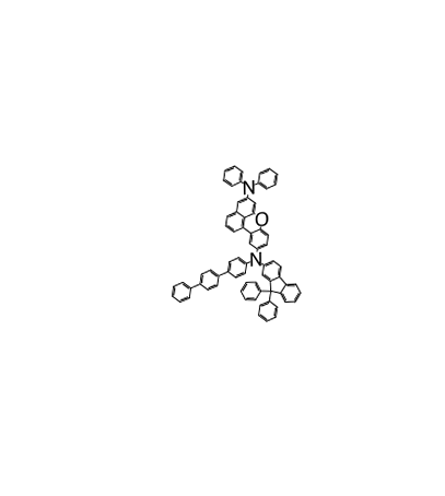 c1ccc(-c2ccc(-c3ccc(N(c4ccc5c(c4)-c4cccc6cc(N(c7ccccc7)c7ccccc7)cc(c46)O5)c4ccc5c(c4)C(c4ccccc4)(c4ccccc4)c4ccccc4-5)cc3)cc2)cc1